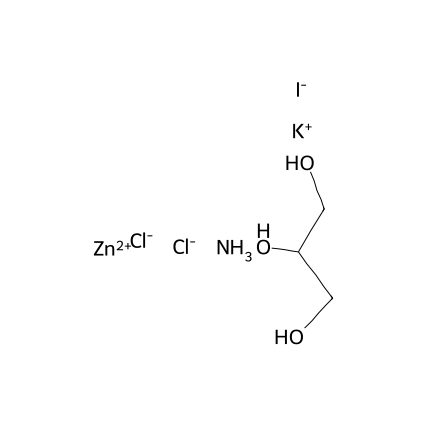 N.OCC(O)CO.[Cl-].[Cl-].[I-].[K+].[Zn+2]